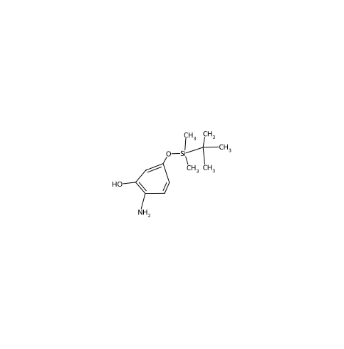 CC(C)(C)[Si](C)(C)Oc1ccc(N)c(O)c1